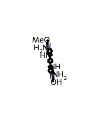 COCC/N=C(\N)c1ccc2cc(-c3ccc(-c4cc5ccc(/C(N)=N/CCO)cc5[nH]4)cc3)[nH]c2c1